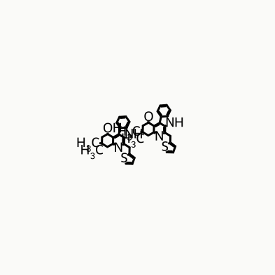 CC1(C)CC(=O)c2c(nc(Cc3cccs3)c3[nH]c4ccccc4c23)C1.CC1(C)Cc2nc(Cc3cccs3)c3[nH]c4ccccc4c3c2C(O)C1